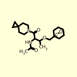 CC(=O)NC(C(=O)N1CCC2(CC1)CC2)C(C)OCC12CCC(CC1)OC2